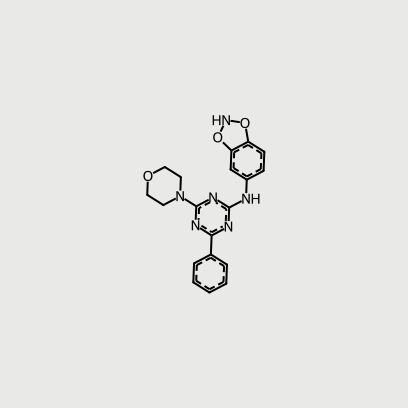 c1ccc(-c2nc(Nc3ccc4c(c3)ONO4)nc(N3CCOCC3)n2)cc1